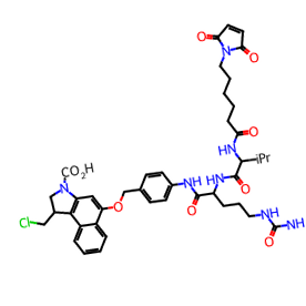 CC(C)C(NC(=O)CCCCCN1C(=O)C=CC1=O)C(=O)NC(CCCNC(N)=O)C(=O)Nc1ccc(COc2cc3c(c4ccccc24)C(CCl)CN3C(=O)O)cc1